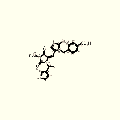 CCCCc1ncc(C=C2C(=O)N(CCCC)C(=O)N2C(C)c2ccsc2)n1Cc1ccc(C(=O)O)cc1